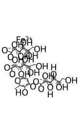 Cc1occc(=O)c1O.O=C([O-])[C@H](O)[C@@H](O)[C@H](O)[C@H](O)CO.O=C([O-])[C@H](O)[C@@H](O)[C@H](O)[C@H](O)CO.O=C([O-])[C@H](O)[C@@H](O)[C@H](O)[C@H](O)CO.[Fe+3]